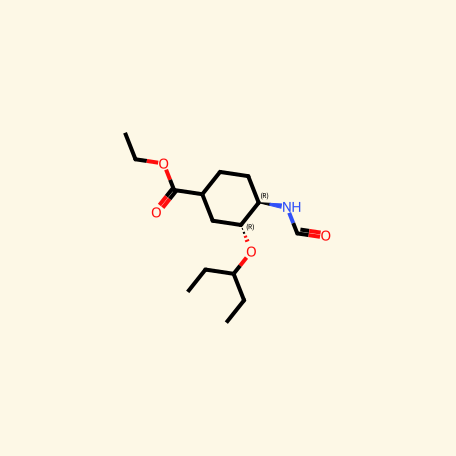 CCOC(=O)C1CC[C@@H](NC=O)[C@H](OC(CC)CC)C1